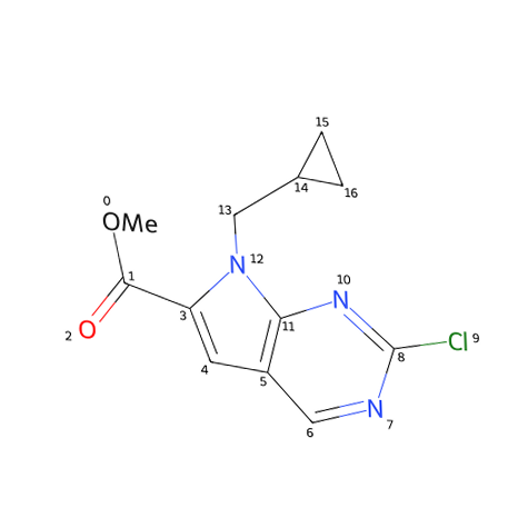 COC(=O)c1cc2cnc(Cl)nc2n1CC1CC1